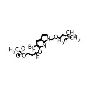 C[Si](C)(C)CCOCn1ccc2cc(Br)c(OC(F)(F)CCOS(C)(=O)=O)nc21